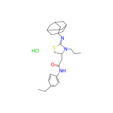 CCCN1/C(=N/C23CC4CC(CC(C4)C2)C3)SCC1CC(=O)Nc1ccc(CC)cc1.Cl